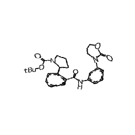 CC(C)(C)OC(=O)N1CCCC1c1ccccc1C(=O)Nc1cccc(N2CCOC2=O)c1